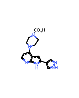 O=C(O)N1CCN(c2ccnc3[nH]c(-c4cn[nH]c4)cc23)CC1